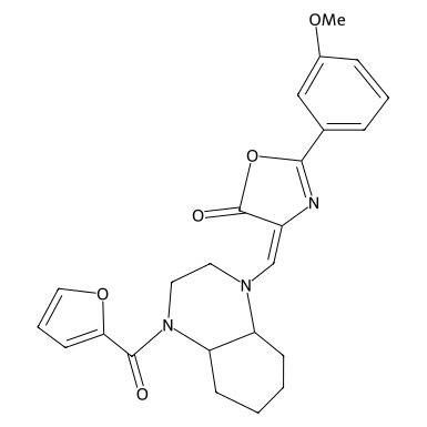 COc1cccc(C2=NC(=CN3CCN(C(=O)c4ccco4)C4CCCCC43)C(=O)O2)c1